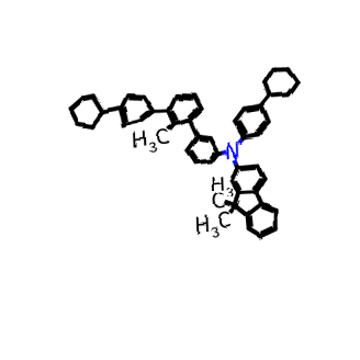 Cc1c(-c2ccc(C3CCCCC3)cc2)cccc1-c1cccc(N(c2ccc(C3CCCCC3)cc2)c2ccc3c(c2)C(C)(C)c2ccccc2-3)c1